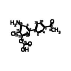 CC(=O)c1ccc(-c2cc(N)c(Cl)c(OC(=O)O)n2)cc1